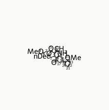 CCCCCCCCCCCC1C(C(=O)OCCOC)=C(C)NC2=C1C(=O)CC(c1ccccc1OC)C2